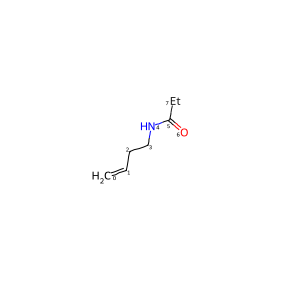 C=CCCNC(=O)CC